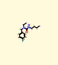 CCCCNC(=O)N(CC)Cc1ccc(F)cc1